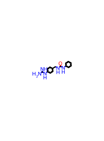 N=C(N)Nc1ccc(CNC(=O)Nc2ccccc2)cc1